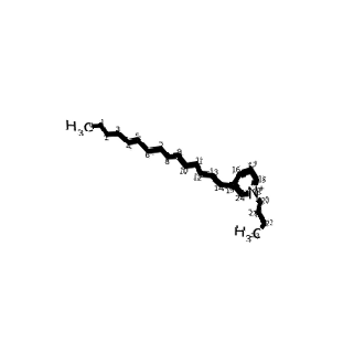 CCCCCCCCCCCCCCCc1ccc[n+](CCCC)c1